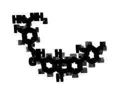 N=C(N)c1ccc(CNC(=O)c2ccc3c(c2)[C@@H]2O[C@H]3c3ccc(-c4ccc(F)cc4F)cc32)cc1F